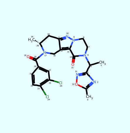 Cc1nc(C(C)N2CCn3nc4c(c3C2=O)CN(C(=O)c2ccc(Cl)c(Cl)c2)[C@H](C)C4)no1